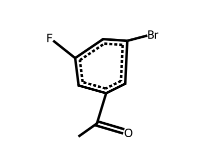 CC(=O)c1cc(F)cc(Br)c1